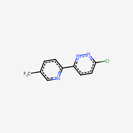 FC(F)(F)c1ccc(-c2ccc(Cl)nn2)nc1